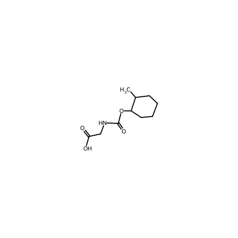 CC1CCCCC1OC(=O)NCC(=O)O